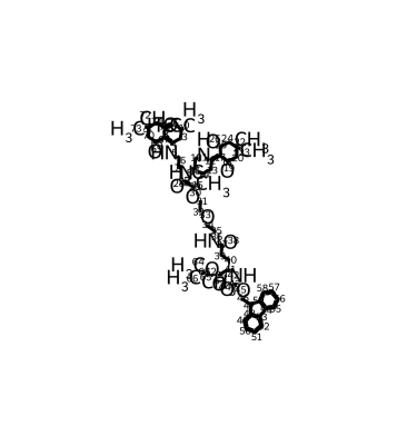 CC(C)CC(NCCN(CCNC(CC(C)C)=C1C(=O)CC(C)(C)CC1=O)C(=O)COCCOCCNC(=O)CC[C@@H](NC(=O)OCC1c2ccccc2-c2ccccc21)C(=O)OC(C)(C)C)=C1C(=O)CC(C)(C)CC1=O